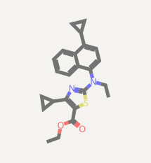 CCOC(=O)c1sc(N(CC)c2ccc(C3CC3)c3ccccc23)nc1C1CC1